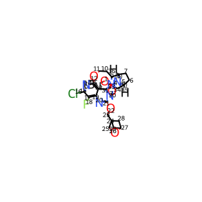 CC(C)(C)OC(=O)N1[C@@H]2CC[C@H]1C1CCOc3nc(Cl)c(F)c4nc(OCC56COC(C5)C6)nc(c34)N1C2